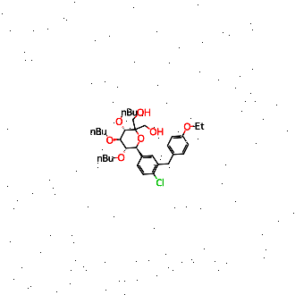 CCCCO[C@@H]1[C@@H](OCCCC)[C@H](OCCCC)C(CO)(CO)O[C@H]1c1ccc(Cl)c(Cc2ccc(OCC)cc2)c1